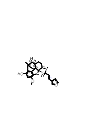 COc1cc(O)c2c3c1O[C@H]1[C@H](N(C)C(=O)/C=C/c4ccoc4)CC[C@H]4[C@@H](C2)N(C)CC[C@@]341